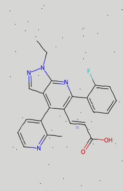 CCn1ncc2c(-c3cccnc3C)c(/C=C/C(=O)O)c(-c3ccccc3F)nc21